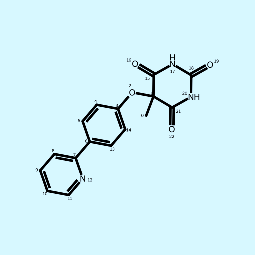 CC1(Oc2ccc(-c3ccccn3)cc2)C(=O)NC(=O)NC1=O